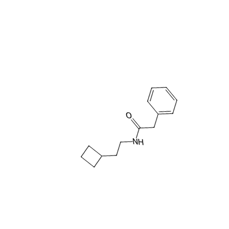 O=C(Cc1ccccc1)NCCC1CCC1